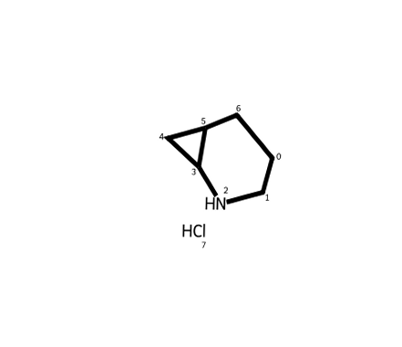 C1CNC2CC2C1.Cl